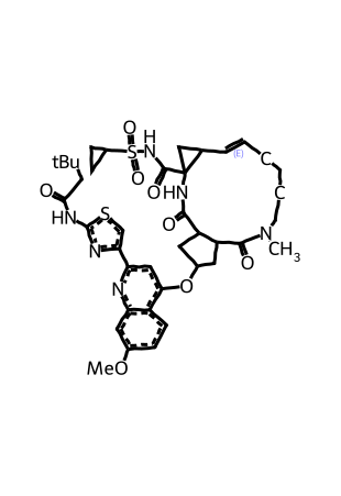 COc1ccc2c(OC3CC4C(=O)NC5(C(=O)NS(=O)(=O)C6CC6)CC5/C=C/CCCCN(C)C(=O)C4C3)cc(-c3csc(NC(=O)CC(C)(C)C)n3)nc2c1